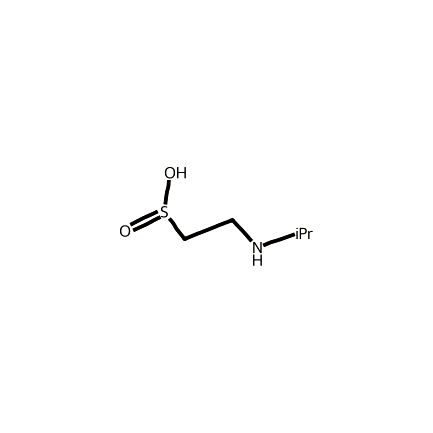 CC(C)NCCS(=O)O